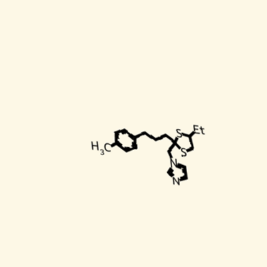 CCC1CSC(CCCc2ccc(C)cc2)(Cn2ccnc2)S1